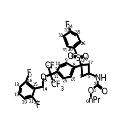 CCCOC(=O)NC1CC(c2ccc(C(OCc3c(F)cccc3F)(C(F)(F)F)C(F)(F)F)cc2)(S(=O)(=O)c2ccc(F)cc2)C1